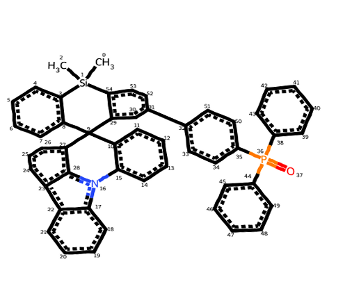 C[Si]1(C)c2ccccc2C2(c3ccccc3-n3c4ccccc4c4cccc2c43)c2cc(-c3ccc(P(=O)(c4ccccc4)c4ccccc4)cc3)ccc21